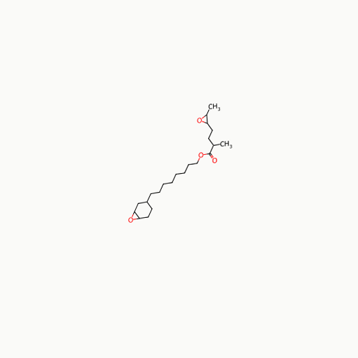 CC(CCC1OC1C)C(=O)OCCCCCCCCC1CCC2OC2C1